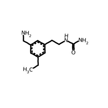 CCc1cc(CN)cc(CCNC(N)=O)c1